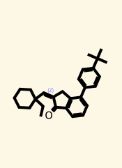 CCC1(/C=C2/Cc3c(cccc3-c3ccc(C(C)(C)C)cc3)C2=O)CCCCC1